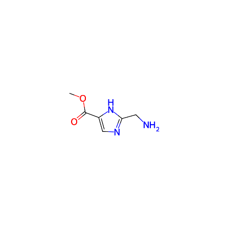 COC(=O)c1cnc(CN)[nH]1